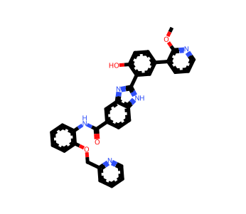 COc1ncccc1-c1ccc(O)c(-c2nc3cc(C(=O)Nc4ccccc4OCc4ccccn4)ccc3[nH]2)c1